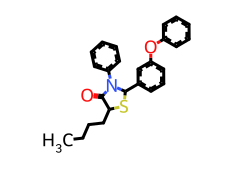 CCCCC1SC(c2cccc(Oc3ccccc3)c2)N(c2ccccc2)C1=O